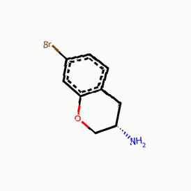 N[C@@H]1COc2cc(Br)ccc2C1